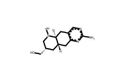 CCCN1C[C@@H](CO)C[C@H]2Cc3nc(N)ncc3C[C@@H]21